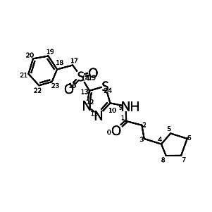 O=C(CCC1CCCC1)Nc1nnc(S(=O)(=O)Cc2ccccc2)s1